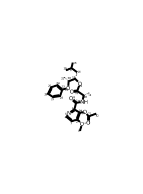 COc1ccnc(C(=O)N[C@@H](C)C(=O)O[C@@H](CC(C)C)[C@@H](C)Oc2ccccc2)c1OC(C)=O